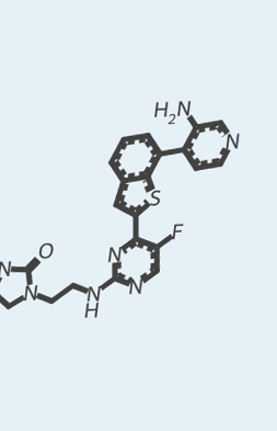 Nc1cnccc1-c1cccc2cc(-c3nc(NCCN4CCNC4=O)ncc3F)sc12